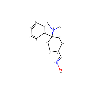 CN(C)C1(c2ccccc2)CCC(C=NO)CC1